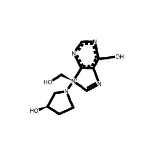 OC[N@+]1(N2CC[C@@H](O)C2)C=Nc2c(O)ncnc21